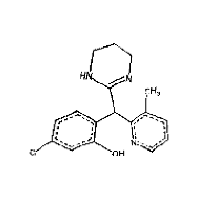 Cc1cccnc1C(C1=NCCCN1)c1ccc(Cl)cc1O